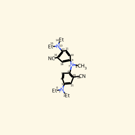 CCN(CC)c1ccc(N(C)c2ccc(N(CC)CC)c(C#N)c2)c(C#N)c1